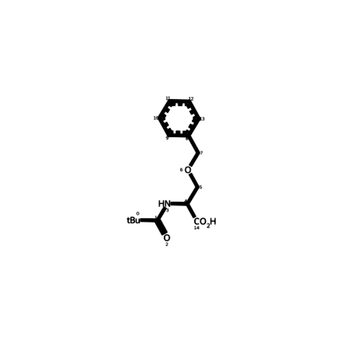 CC(C)(C)C(=O)NC(COCc1ccccc1)C(=O)O